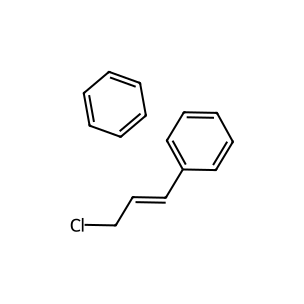 ClCC=Cc1ccccc1.c1ccccc1